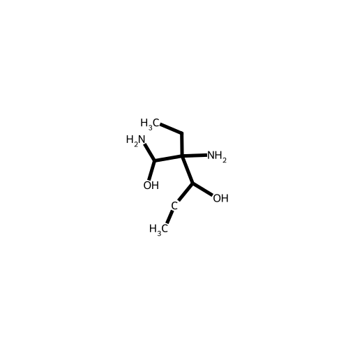 CCC(O)C(N)(CC)C(N)O